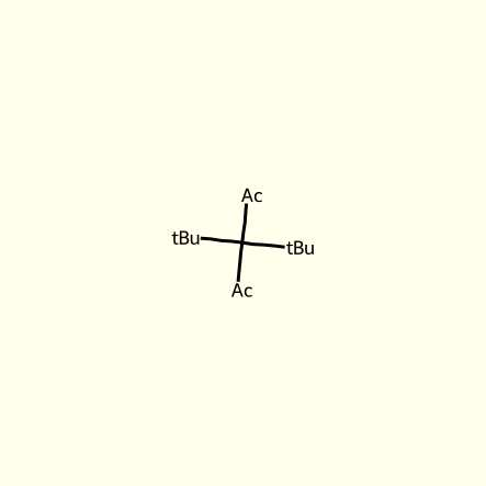 CC(=O)C(C(C)=O)(C(C)(C)C)C(C)(C)C